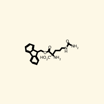 NC(=O)NCCC[C@](N)(C(=O)O)C(=O)OCC1c2ccccc2-c2ccccc21